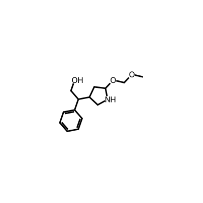 COCOC1CC(C(CO)c2ccccc2)CN1